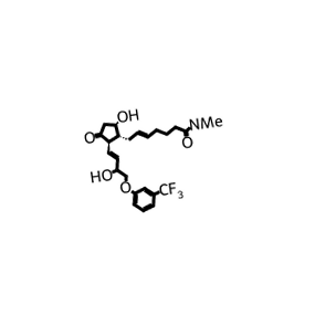 CNC(=O)CCCC=CC[C@H]1[C@@H](O)CC(=O)[C@@H]1C=CC(O)COc1cccc(C(F)(F)F)c1